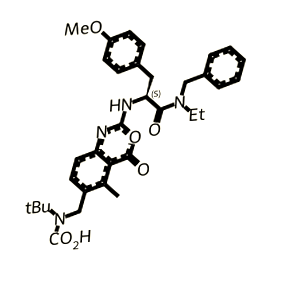 CCN(Cc1ccccc1)C(=O)[C@H](Cc1ccc(OC)cc1)Nc1nc2ccc(CN(C(=O)O)C(C)(C)C)c(C)c2c(=O)o1